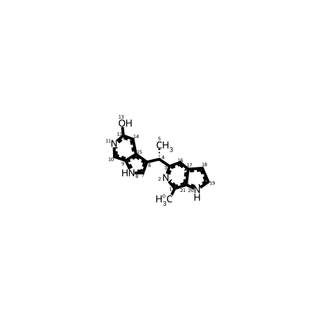 Cc1nc([C@@H](C)c2c[nH]c3cnc(O)cc23)cc2cc[nH]c12